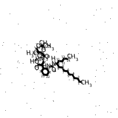 CCCCCCCCCCC(CCCCC)NC(=O)NC1CCCCC1C(CNC(=O)C1OC(C)(C)OCC1(C)C)C(=O)O